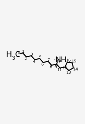 CCCCCCCCCC([NH])CC1CCCC1